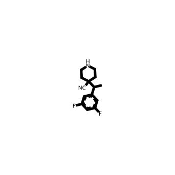 CC(c1cc(F)cc(F)c1)C1(C#N)CCNCC1